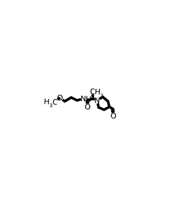 COCCCNC(=O)C(C)N1CCC(C=O)CC1